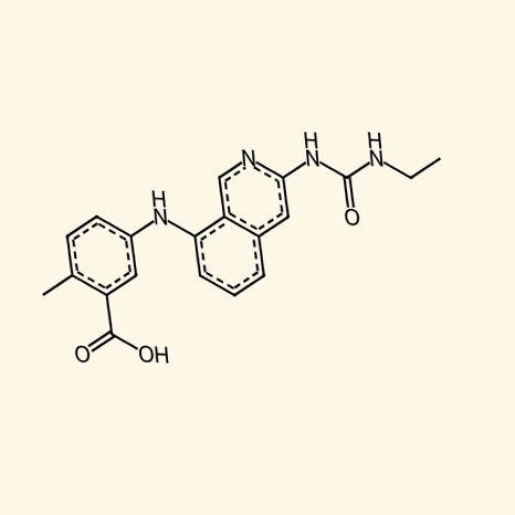 CCNC(=O)Nc1cc2cccc(Nc3ccc(C)c(C(=O)O)c3)c2cn1